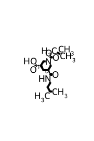 CC(C)CCNC(=O)[C@H]1C[C@H](C(=O)O)CN(C(=O)OC(C)(C)C)C1